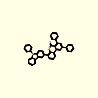 O=c1oc2c(-c3ccc4c(c3)c3ccccc3n4-c3ccccc3)cccc2c2cc(-c3ccccc3)cc(-c3ccccc3)c12